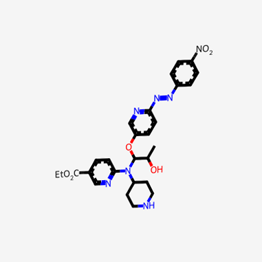 CCOC(=O)c1ccc(N(C2CCNCC2)C(Oc2ccc(N=Nc3ccc([N+](=O)[O-])cc3)nc2)C(C)O)nc1